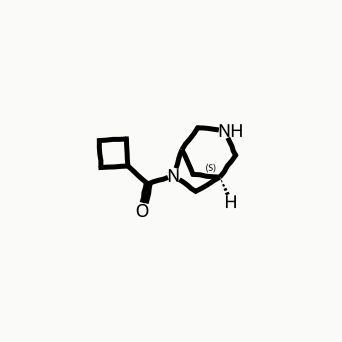 O=C(C1CCC1)N1C[C@@H]2CNCC1C2